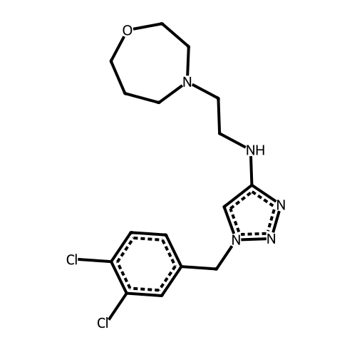 Clc1ccc(Cn2cc(NCCN3CCCOCC3)nn2)cc1Cl